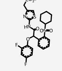 CCOC(=O)Cc1csc(NC(=O)C(Oc2ccc(F)cc2F)c2ccccc2S(=O)(=O)C2CCCCC2)n1